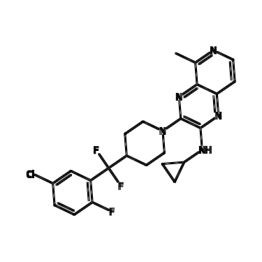 Cc1nccc2nc(NC3CC3)c(N3CCC(C(F)(F)c4cc(Cl)ccc4F)CC3)nc12